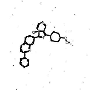 COC1CCC(C2=C3C=NC=C[N+]3(Cl)C(c3ccc4ccc(-c5ccccc5)nc4c3)=N2)CC1